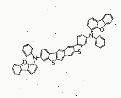 c1ccc(N(c2ccc3c(c2)sc2cc4cc5sc6cc(N(c7ccccc7)c7cccc8c7oc7ccccc78)ccc6c5cc4cc23)c2cccc3c2oc2ccccc23)cc1